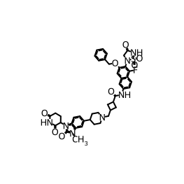 Cn1c(=O)n(C2CCC(=O)NC2=O)c2ccc(C3CCN(CC4CC(C(=O)Nc5ccc6c(F)c(N7CC(=O)NS7(=O)=O)c(OCc7ccccc7)cc6c5)C4)CC3)cc21